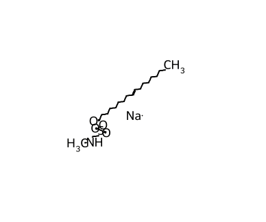 CCCCCCCCC=CCCCCCCCC(=O)OS(=O)(=O)CCNC.[Na]